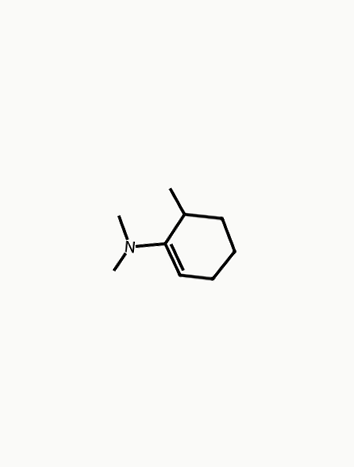 CC1CCCC=C1N(C)C